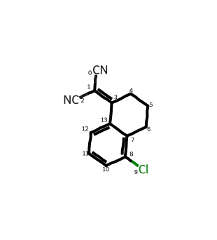 N#CC(C#N)=C1CCCc2c(Cl)cccc21